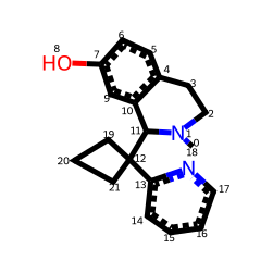 CN1CCc2ccc(O)cc2C1C1(c2ccccn2)CCC1